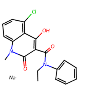 CCN(C(=O)c1c(O)c2c(Cl)cccc2n(C)c1=O)c1ccccc1.[Na]